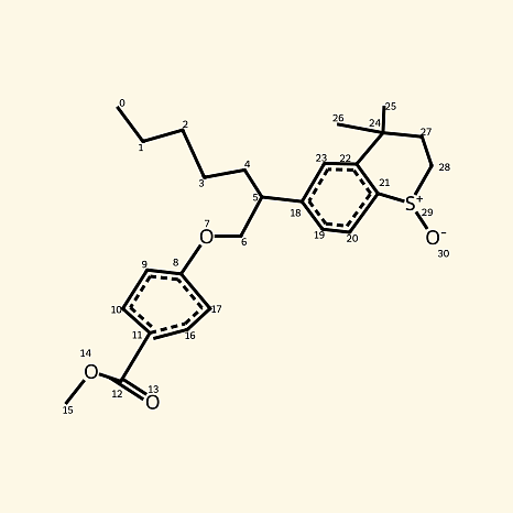 CCCCCC(COc1ccc(C(=O)OC)cc1)c1ccc2c(c1)C(C)(C)CC[S+]2[O-]